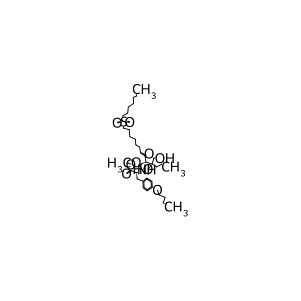 CCCCCCCS(=O)(=O)CCCCCC/C=C/[C@H](C(=O)N[C@@H](Cc1ccc(OCCCC)cc1)C(=O)OC)[C@@](O)(CCC)C(=O)O